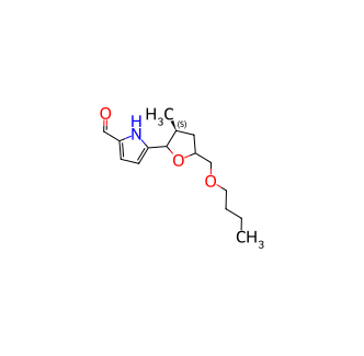 CCCCOCC1C[C@H](C)C(c2ccc(C=O)[nH]2)O1